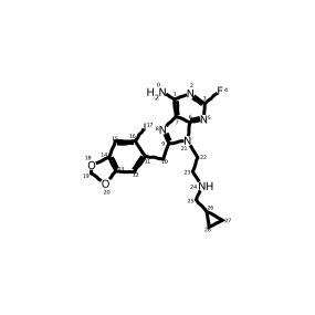 Nc1nc(F)nc2c1nc(Cc1cc3c(cc1I)OCO3)n2CCNCC1CC1